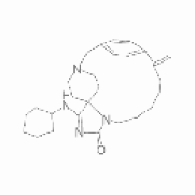 C=C1CCCCCN2C(=O)N=C(NC3CCCCC3)C23CCN(CC3)Cc2ccc1cc2